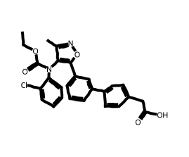 CCOC(=O)N(c1ccccc1Cl)c1c(C)noc1-c1cccc(-c2ccc(CC(=O)O)cc2)c1